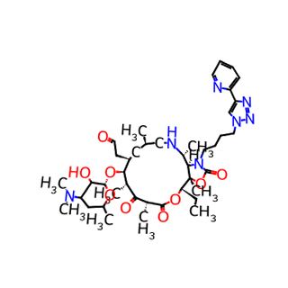 CC[C@H]1OC(=O)[C@H](C)C(=O)[C@H](C)[C@@H](O[C@@H]2OC(C)CC(N(C)C)C2O)[C@@H](CC=O)C[C@@H](C)CN[C@H](C)[C@H]2N(CCCCn3cc(-c4ccccn4)nn3)C(=O)O[C@]12C